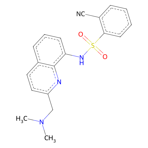 CN(C)Cc1ccc2cccc(NS(=O)(=O)c3ccccc3C#N)c2n1